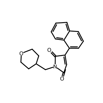 O=C1C=C(c2cccc3ccccc23)C(=O)N1CC1CCOCC1